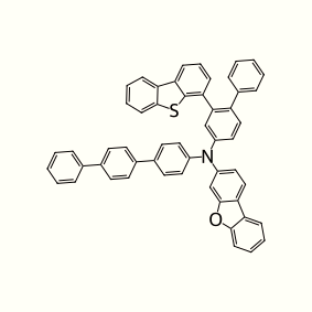 c1ccc(-c2ccc(-c3ccc(N(c4ccc(-c5ccccc5)c(-c5cccc6c5sc5ccccc56)c4)c4ccc5c(c4)oc4ccccc45)cc3)cc2)cc1